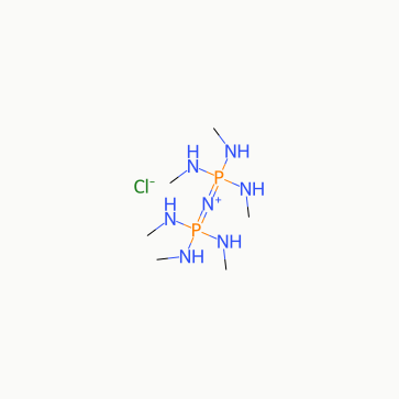 CNP(=[N+]=P(NC)(NC)NC)(NC)NC.[Cl-]